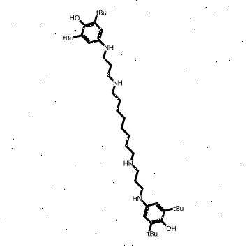 CC(C)(C)c1cc(NCCCNCCCCCCCCNCCCNc2cc(C(C)(C)C)c(O)c(C(C)(C)C)c2)cc(C(C)(C)C)c1O